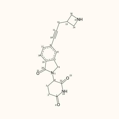 O=C1CCC(N2Cc3cc(C#CCC4CNC4)ccc3C2=O)C(=O)N1